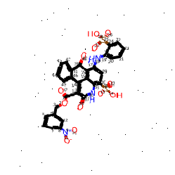 O=C(OCc1cccc([N+](=O)[O-])c1)c1c2c3c(c(Nc4ccccc4S(=O)(=O)O)cc(S(=O)(=O)O)c3[nH]c1=O)C(=O)c1ccccc1-2